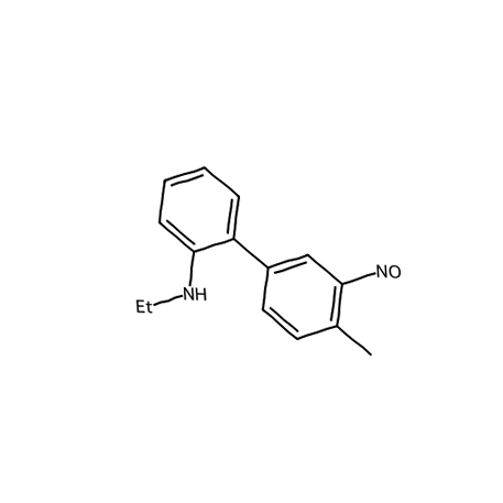 CCNc1ccccc1-c1ccc(C)c(N=O)c1